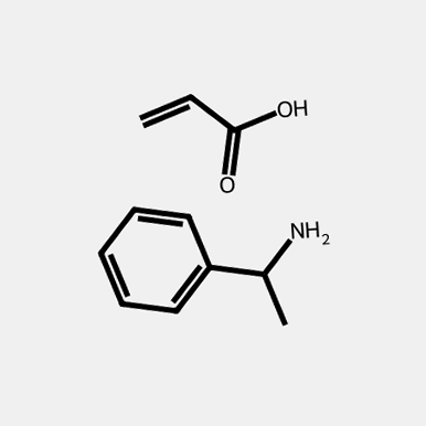 C=CC(=O)O.CC(N)c1ccccc1